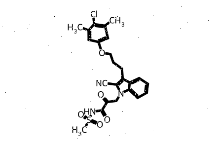 Cc1cc(OCCCc2c(C#N)n(CC(=O)C(=O)NS(C)(=O)=O)c3ccccc23)cc(C)c1Cl